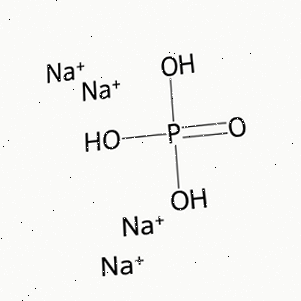 O=P(O)(O)O.[Na+].[Na+].[Na+].[Na+]